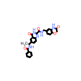 C[C@@H](NC(=O)c1ccccc1)c1ccc2nc(C(=O)NCc3ccc4c(c3)NC(=O)CO4)[nH]c(=O)c2c1